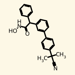 CC(C)(C#N)c1ccc(-c2cccc(C(C(=O)NO)c3ccccc3)c2)cc1